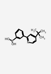 CC(C)(C)c1ccnc(-c2cccc(B(O)O)c2)c1